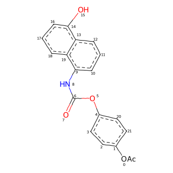 CC(=O)Oc1ccc(OC(=O)Nc2cccc3c(O)cccc23)cc1